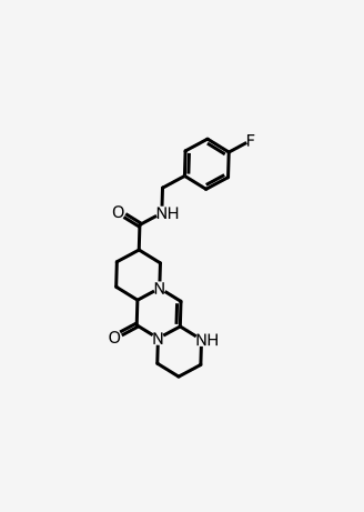 O=C(NCc1ccc(F)cc1)C1CCC2C(=O)N3CCCNC3=CN2C1